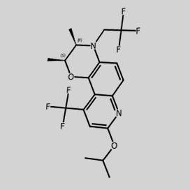 CC(C)Oc1cc(C(F)(F)F)c2c3c(ccc2n1)N(CC(F)(F)F)[C@H](C)[C@H](C)O3